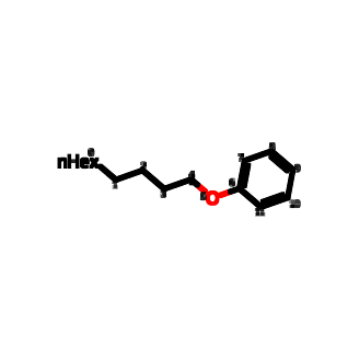 CCCCCCCCC[CH]Oc1ccccc1